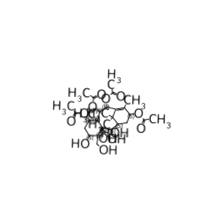 CC(=O)O[C@H]1C[C@@]2(O)[C@@H](O)[C@@H]3[C@](O)(CO)[C@@H](O)C[C@H](OC(C)=O)[C@@]3(C)[C@@H](OC(C)=O)[C@H](OC(C)=O)C(=C1C)C2(C)C